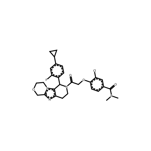 CN(C)C(=O)c1ccc(OCC(=O)N2CCc3nc4n(c3C2c2ccc(C3CC3)cc2F)CCOC4)c(Cl)c1